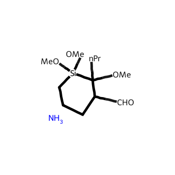 CCCC1(OC)C(C=O)CCC[Si]1(OC)OC.N